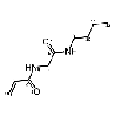 C=CC(=O)NCC(=O)NCCCC